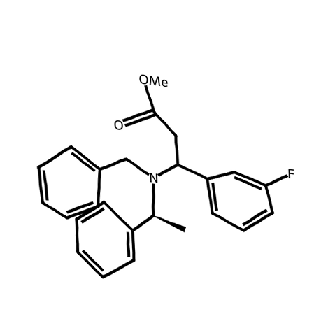 COC(=O)CC(c1cccc(F)c1)N(Cc1ccccc1)[C@@H](C)c1ccccc1